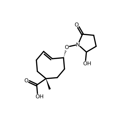 C[C@@]1(C(=O)O)CC/C=C/[C@H](ON2C(=O)CCC2O)CC1